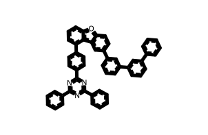 c1ccc(-c2cccc(-c3cccc(-c4ccc5oc6cccc(-c7ccc(-c8nc(-c9ccccc9)nc(-c9ccccc9)n8)cc7)c6c5c4)c3)c2)cc1